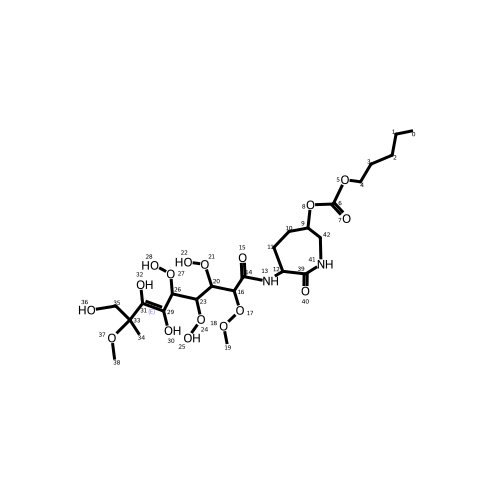 CCCCCOC(=O)OC1CCC(NC(=O)C(OOC)C(OO)C(OO)C(OO)/C(O)=C(\O)C(C)(CO)OC)C(=O)NC1